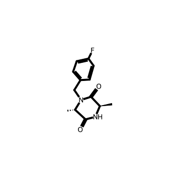 C[C@H]1NC(=O)[C@H](C)N(Cc2ccc(F)cc2)C1=O